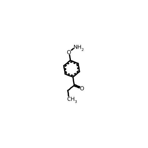 CCC(=O)c1ccc(ON)cc1